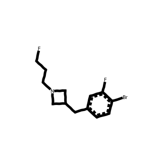 FCCCN1CC(Cc2ccc(Br)c(F)c2)C1